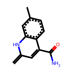 C=C1C=C(C(N)=O)c2ccc(C)cc2N1